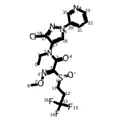 CCN(C(=O)C(=NOC)[S+]([O-])CCC(F)(F)F)c1cn(-c2cccnc2)nc1Cl